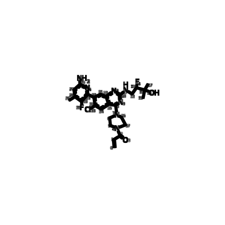 C=CC(=O)N1CCN(c2nc(NCC(F)C(C)(C)O)nc3cc(-c4nc(N)cc(C)c4F)c(Cl)cc23)CC1